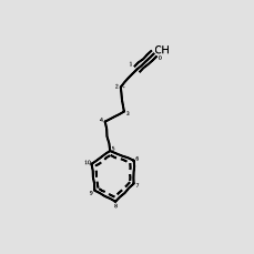 C#C[CH]CCc1ccccc1